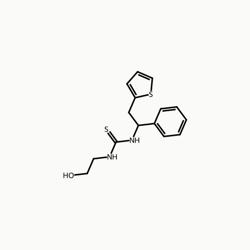 OCCNC(=S)NC(Cc1cccs1)c1ccccc1